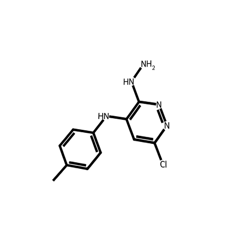 Cc1ccc(Nc2cc(Cl)nnc2NN)cc1